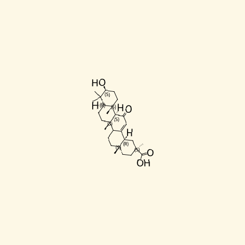 CC1(C)[C@@H](O)CC[C@]2(C)[C@H]3C(=O)C=C4C(CC[C@@]5(C)CC[C@](C)(C(=O)O)C[C@@H]45)[C@]3(C)CC[C@@H]12